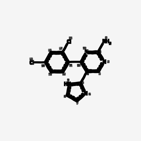 Nc1ncc(-c2ncc[nH]2)c(-c2ccc(Cl)cc2Cl)n1